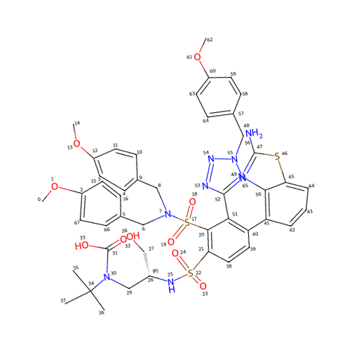 COc1ccc(CN(Cc2ccc(OC)cc2)S(=O)(=O)c2c(S(=O)(=O)N[C@@H](CO)CN(C(=O)O)C(C)(C)C)ccc(-c3cccc4sc(N)nc34)c2-c2nnn(Cc3ccc(OC)cc3)n2)cc1